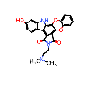 CN(C)CCn1c(=O)c2c3oc4ccccc4oc3c3[nH]c4cc(O)ccc4c3c2c1=O